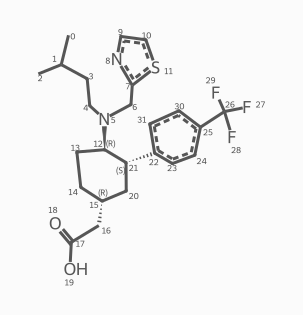 CC(C)CCN(Cc1nccs1)[C@@H]1CC[C@@H](CC(=O)O)C[C@H]1c1ccc(C(F)(F)F)cc1